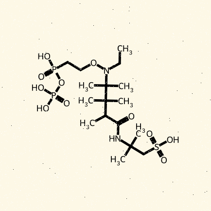 CCN(OCCP(=O)(O)OP(=O)(O)O)C(C)(C)C(C)(C)C(C)C(=O)NC(C)(C)CS(=O)(=O)O